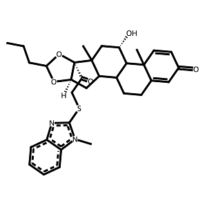 CCCC1O[C@@H]2CC3C4CCC5=CC(=O)C=CC5(C)C4[C@@H](O)CC3(C)[C@]2(C(=O)CSc2nc3ccccc3n2C)O1